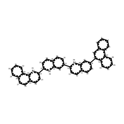 c1ccc2c(c1)cc(-c1ccc3ccc(-c4ccc5ccc(-c6ccc7ccc8ccccc8c7n6)nc5c4)nc3c1)c1ccccc12